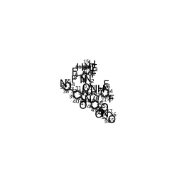 O=C(Cn1nc(C(F)F)c2c1C(F)(F)[C@@H]1C[C@H]21)N[C@@H](Cc1cc(F)cc(F)c1)c1nc2cc(-c3ccncc3)ccc2c(=O)n1-c1ccc(S(=O)(=O)N2CCOCC2)cc1